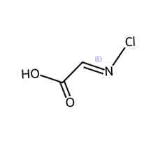 O=C(O)/C=N/Cl